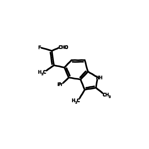 C/C(=C(\F)C=O)c1ccc2[nH]c(C)c(C)c2c1C(C)C